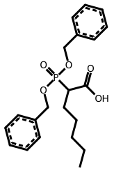 CCCCCC(C(=O)O)P(=O)(OCc1ccccc1)OCc1ccccc1